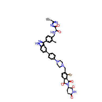 Cc1cc(-c2n[nH]c3ccc(-c4ccc(N5CCN(Cc6ccc7c(c6Br)C(=O)N(C6CCC(=O)NC6=O)C7=O)CC5)cc4)cc23)ccc1CNC(=O)c1nc(C(C)(C)C)no1